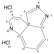 C1=CC2=NN=CC23C=CC=NC3=C1.Cl.Cl